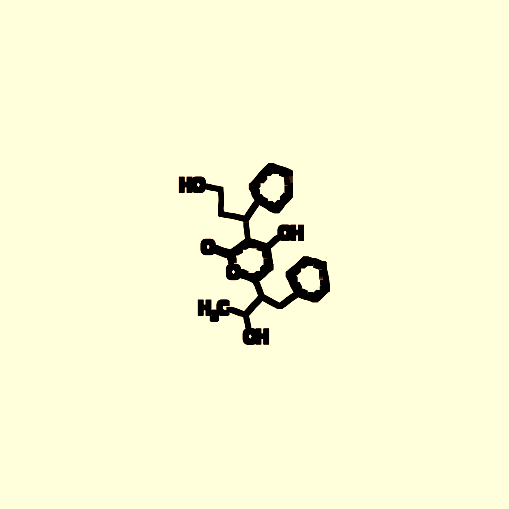 CC(O)C(Cc1ccccc1)c1cc(O)c(C(CCO)c2ccccc2)c(=O)o1